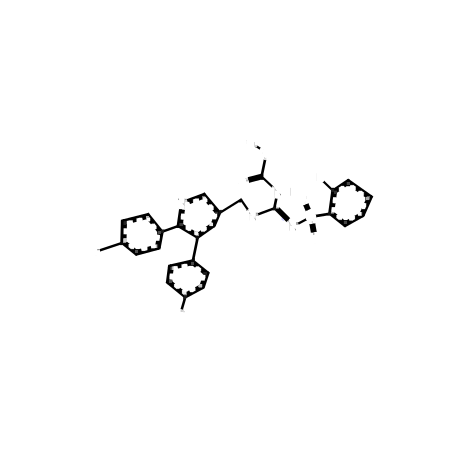 CC(C)(C)OC(=O)N/C(=N\S(=O)(=O)c1ccccc1F)NCc1cnc(-c2ccc(Cl)cc2)c(-c2ccc(Cl)cc2)c1